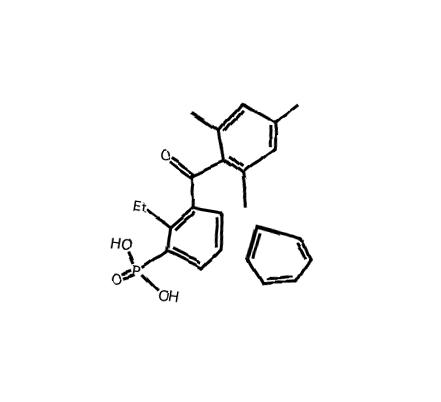 CCc1c(C(=O)c2c(C)cc(C)cc2C)cccc1P(=O)(O)O.c1ccccc1